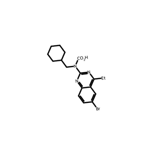 CCc1nc(N(CC2CCCCC2)C(=O)O)nc2ccc(Br)cc12